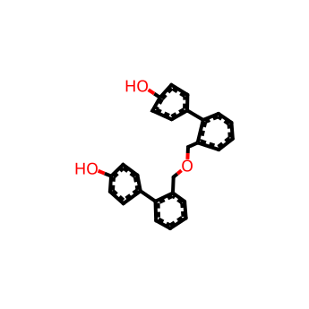 Oc1ccc(-c2ccccc2COCc2ccccc2-c2ccc(O)cc2)cc1